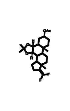 CC(=O)O[C@H]1CC[C@]2(C)C3CC[C@]4(C)C(=C(F)F)CCC4C3[C@H]3OC(C)(C)O[C@@H]3C2C1